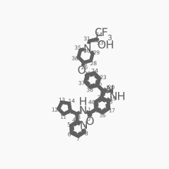 O=C(NC(c1ccccn1)C1CCCC1)c1ccc2[nH]nc(-c3ccc(OC4CCN(C[C@@H](O)C(F)(F)F)CC4)cc3)c2c1